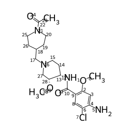 COc1cc(N)c(Cl)cc1C(=O)N[C@H]1CCN(CC2CCN(C(C)=O)CC2)C[C@H]1OC